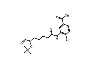 CC(C)(C)ON(C=O)CCCCC(=O)Nc1cc(C(=O)O)ccc1Cl